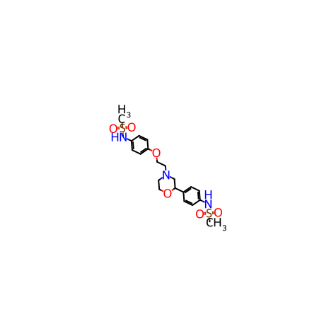 CS(=O)(=O)Nc1ccc(OCCN2CCOC(c3ccc(NS(C)(=O)=O)cc3)C2)cc1